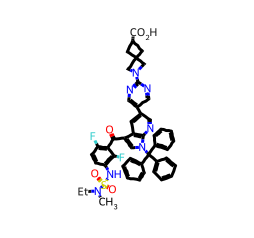 CCN(C)S(=O)(=O)Nc1ccc(F)c(C(=O)c2cn(C(c3ccccc3)(c3ccccc3)c3ccccc3)c3ncc(-c4cnc(N5CC6(CC(C(=O)O)C6)C5)nc4)cc23)c1F